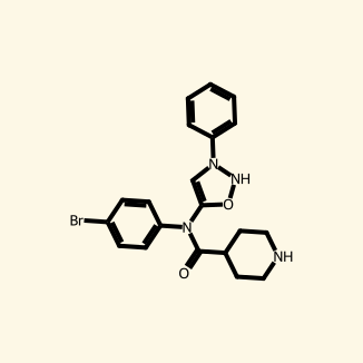 O=C(C1CCNCC1)N(C1=CN(c2ccccc2)NO1)c1ccc(Br)cc1